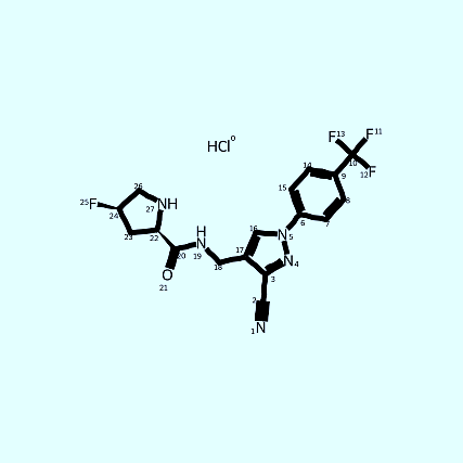 Cl.N#Cc1nn(-c2ccc(C(F)(F)F)cc2)cc1CNC(=O)[C@H]1C[C@@H](F)CN1